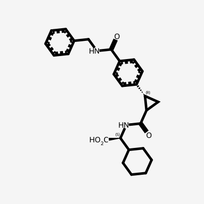 O=C(NCc1ccccc1)c1ccc([C@@H]2CC2C(=O)N[C@H](C(=O)O)C2CCCCC2)cc1